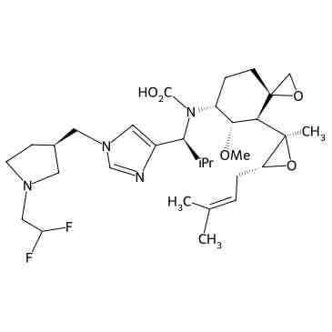 CO[C@@H]1[C@H](N(C(=O)O)[C@H](c2cn(C[C@@H]3CCN(CC(F)F)C3)cn2)C(C)C)CC[C@]2(CO2)[C@H]1[C@@]1(C)O[C@@H]1CC=C(C)C